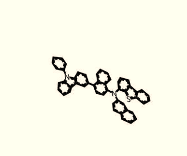 c1ccc(-n2c3ccccc3c3cc(-c4ccc(N(c5ccc6ccccc6c5)c5cccc6c5sc5ccccc56)c5ccccc45)ccc32)cc1